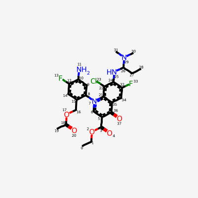 CCOC(=O)c1cn(-c2cc(N)c(F)cc2COC(C)=O)c2c(Cl)c(NC(CC)N(C)C)c(F)cc2c1=O